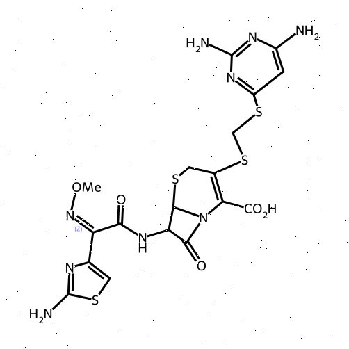 CO/N=C(\C(=O)NC1C(=O)N2C(C(=O)O)=C(SCSc3cc(N)nc(N)n3)CSC12)c1csc(N)n1